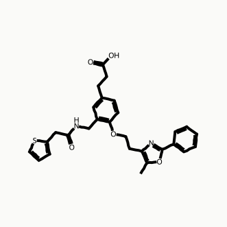 Cc1oc(-c2ccccc2)nc1CCOc1ccc(CCC(=O)O)cc1CNC(=O)Cc1cccs1